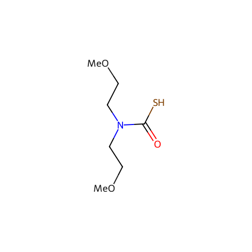 COCCN(CCOC)C(=O)S